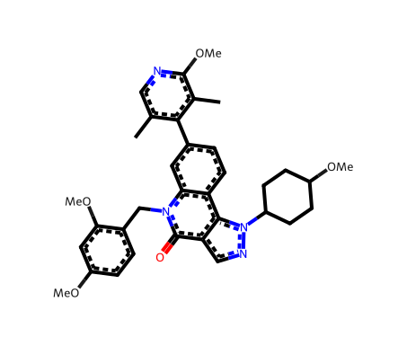 COc1ccc(Cn2c(=O)c3cnn(C4CCC(OC)CC4)c3c3ccc(-c4c(C)cnc(OC)c4C)cc32)c(OC)c1